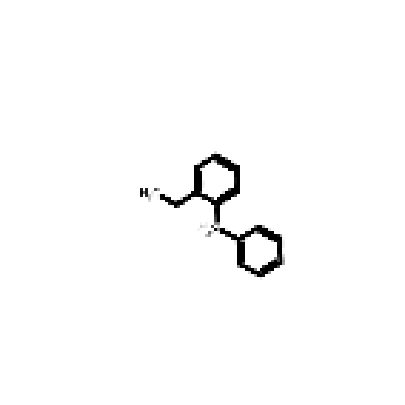 CCc1ccccc1[SiH2]c1ccccc1